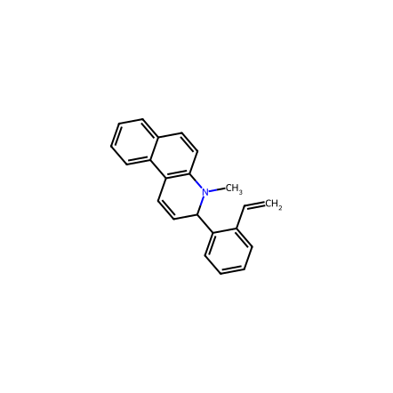 C=Cc1ccccc1C1C=Cc2c(ccc3ccccc23)N1C